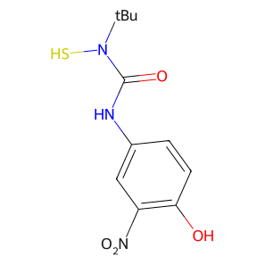 CC(C)(C)N(S)C(=O)Nc1ccc(O)c([N+](=O)[O-])c1